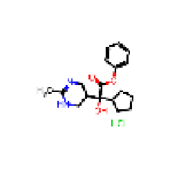 CC1=NCC(C(O)(C(=O)Oc2ccccc2)C2CCCC2)CN1.Cl